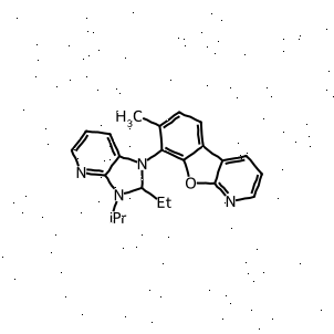 CCC1N(c2c(C)ccc3c2oc2ncccc23)c2cccnc2N1C(C)C